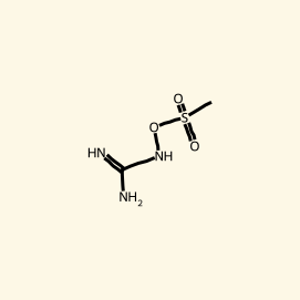 CS(=O)(=O)ONC(=N)N